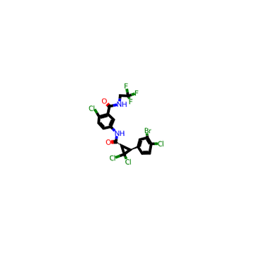 O=C(NCC(F)(F)F)c1cc(NC(=O)[C@@H]2[C@@H](c3ccc(Cl)c(Br)c3)C2(Cl)Cl)ccc1Cl